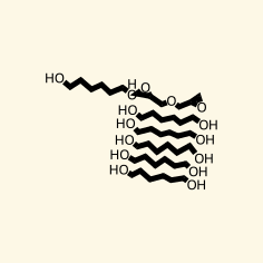 C(OCC1CO1)C1CO1.OCCCCCCO.OCCCCCCO.OCCCCCCO.OCCCCCCO.OCCCCCCO.OCCCCCCO